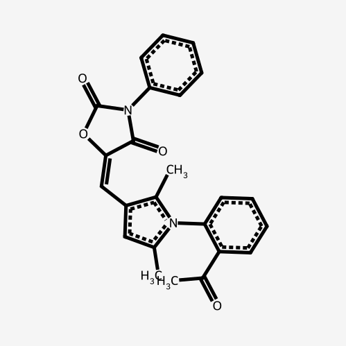 CC(=O)c1ccccc1-n1c(C)cc(C=C2OC(=O)N(c3ccccc3)C2=O)c1C